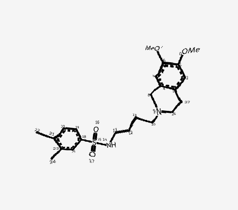 COc1cc2c(cc1OC)CN(CCCCNS(=O)(=O)c1ccc(C)c(C)c1)CC2